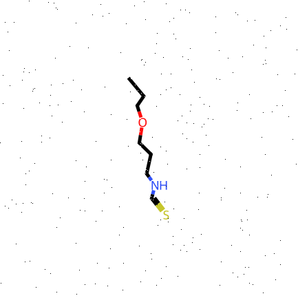 CCCOCCCNC=S